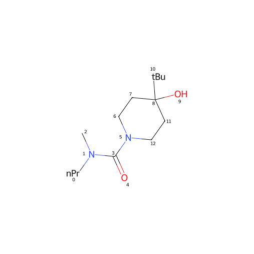 CCCN(C)C(=O)N1CCC(O)(C(C)(C)C)CC1